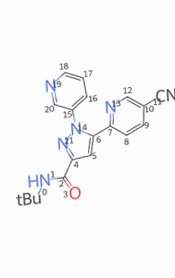 CC(C)(C)NC(=O)c1cc(-c2ccc(C#N)cn2)n(-c2cccnc2)n1